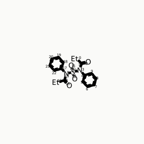 CCC(=O)N(c1ccccc1)S(=O)(=O)N(C(=O)CC)c1ccccc1